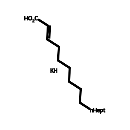 CCCCCCCCCCCCC/C=C/C(=O)O.[KH]